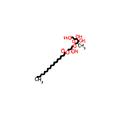 CCCCCCCCCCCCCCCCCC(=O)OCC(O)COC1OC(CO)C(O)C(O)C1C